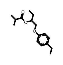 CCc1ccc(OCC(CC)OC(=O)C(C)C)cc1